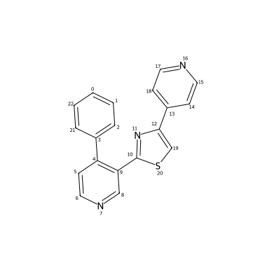 c1ccc(-c2ccncc2-c2nc(-c3ccncc3)cs2)cc1